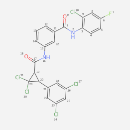 O=C(Nc1ccc(F)cc1Cl)c1cccc(NC(=O)C2C(c3cc(Cl)cc(Cl)c3)C2(Cl)Cl)c1